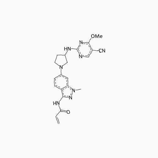 C=CC(=O)Nc1nn(C)c2cc(N3CCC(Nc4ncc(C#N)c(OC)n4)C3)ccc12